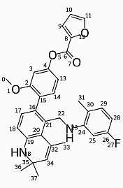 COc1cc(OC(=O)c2ccco2)ccc1-c1ccc2c(c1CNc1cc(F)ccc1C)C(C)=CC(C)(C)N2